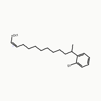 CCCCCCCC/C=C\CCCCCCCC[C](C)c1ccccc1CC